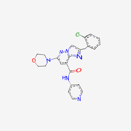 O=C(Nc1ccncc1)c1cc(N2CCOCC2)nn2cc(-c3ccccc3Cl)nc12